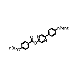 CCCCCc1ccc(-c2cnc(OC(=O)c3ccc(OCCCC)cc3)cn2)cc1